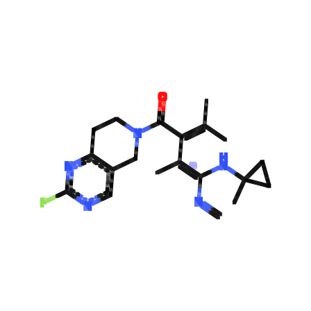 C=N/C(NC1(C)CC1)=C(\C)C(C(=O)N1CCc2nc(F)ncc2C1)=C(C)C